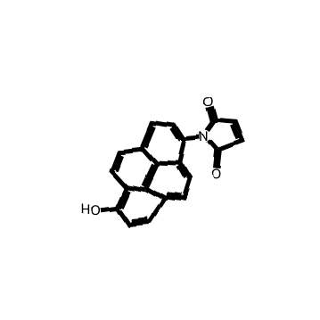 O=C1C=CC(=O)N1c1ccc2ccc3c(O)ccc4ccc1c2c43